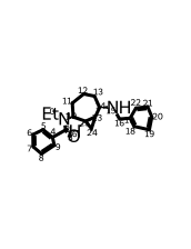 CCN(C(=O)c1ccccc1)[C@H]1CCC[C@@H](NCc2ccccc2)C2C[C@H]21